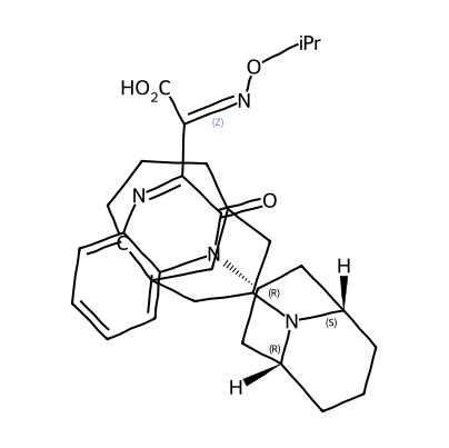 CC(C)O/N=C(\C(=O)O)c1nc2ccccc2n([C@H]2C[C@H]3CCC[C@@H](C2)N3C2CC3CCCCC(C3)C2)c1=O